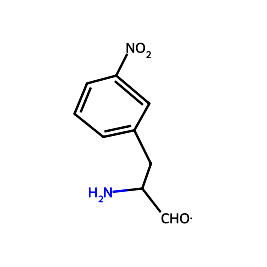 NC([C]=O)Cc1cccc([N+](=O)[O-])c1